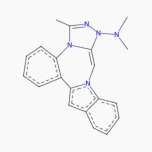 CC1=NN(N(C)C)C2=Cn3c(cc4ccccc43)-c3ccccc3N21